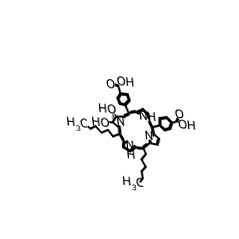 CCCCCCc1c2nc(c(-c3ccc(C(=O)O)cc3)c3ccc([nH]3)c(-c3ccc(C(=O)O)cc3)c3nc(c(CCCCCC)c4ccc1[nH]4)C(O)[C@@H]3O)C=C2